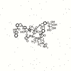 Cc1c(-c2ccc(N3CCc4cccc(C(=O)Nc5nc6ccccc6s5)c4C3)nc2C(=O)O)cnn1CC12CC3(C)CC(C)(C1)CC(OCCN(Cc1ccc(O[C@@H]4O[C@H](CO)[C@@H](O)[C@@H](O)[C@H]4O)cc1)C(=O)OCc1ccc(NC(=O)[C@H](CCCNC(N)=O)NC(=O)[C@@H](NC(=O)CCCCCN4C(=O)C=CC4=O)C(C)C)cc1)(C3)C2